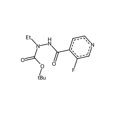 CCN(NC(=O)c1ccncc1F)C(=O)OC(C)(C)C